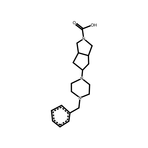 O=C(O)N1CC2CC(N3CCN(Cc4ccccc4)CC3)CC2C1